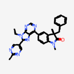 CCn1c(-c2cnc(C)nc2)nc2c(-c3ccc4c(c3)C(C)(Cc3ccccc3)C(=O)N4C)ncnc21